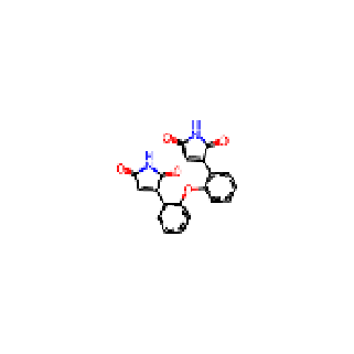 O=C1C=C(c2ccccc2Oc2ccccc2C2=CC(=O)NC2=O)C(=O)N1